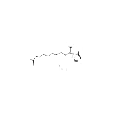 CC(C)CCCCCCCCC(C(=O)[O-])n1cncc1O.[Na+]